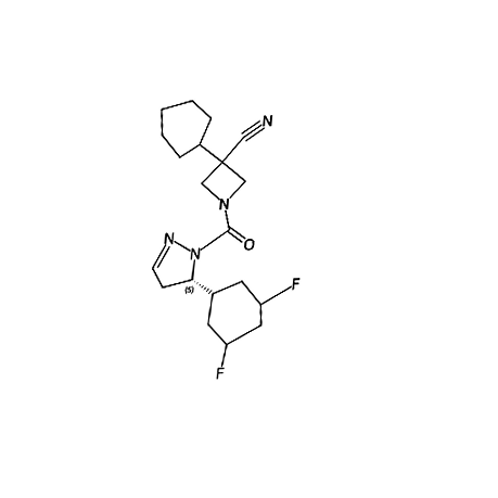 N#CC1(C2CCCCC2)CN(C(=O)N2N=CC[C@H]2C2CC(F)CC(F)C2)C1